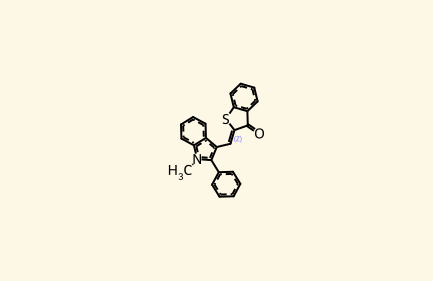 Cn1c(-c2ccccc2)c(/C=C2\Sc3ccccc3C2=O)c2ccccc21